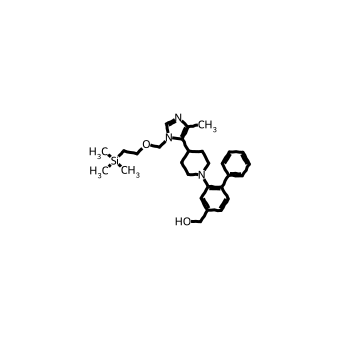 Cc1ncn(COCC[Si](C)(C)C)c1C1CCN(c2cc(CO)ccc2-c2ccccc2)CC1